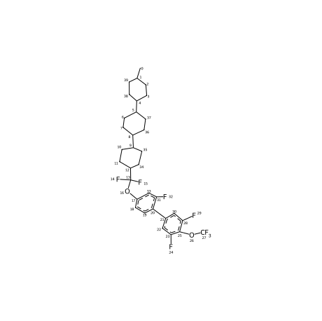 CC1CCC(C2CCC(C3CCC(C(F)(F)Oc4ccc(-c5cc(F)c(OC(F)(F)F)c(F)c5)c(F)c4)CC3)CC2)CC1